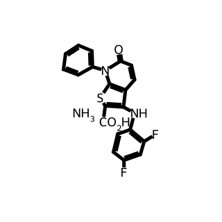 N.O=C(O)c1sc2c(ccc(=O)n2-c2ccccc2)c1Nc1ccc(F)cc1F